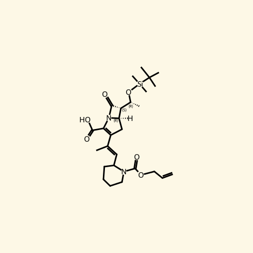 C=CCOC(=O)N1CCCCC1C=C(C)C1=C(C(=O)O)N2C(=O)[C@H]([C@@H](C)O[Si](C)(C)C(C)(C)C)[C@H]2C1